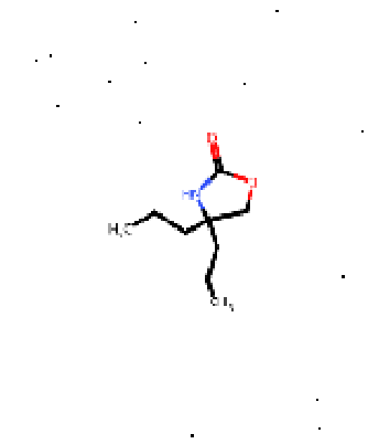 CCCC1(CCC)COC(=O)N1